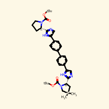 CC(C)(C)OC(=O)N1CCC[C@H]1c1ncc(-c2ccc(-c3ccc(-c4cnc([C@@H]5C[Si](C)(C)CN5C(=O)OC(C)(C)C)[nH]4)cc3)cc2)[nH]1